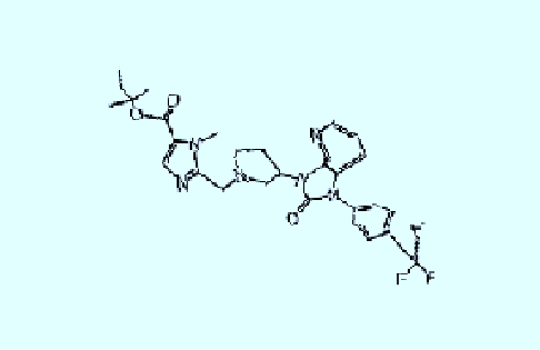 Cn1c(C(=O)OC(C)(C)C)cnc1CN1CCC(n2c(=O)n(-c3ccc(C(F)(F)F)cc3)c3cccnc32)C1